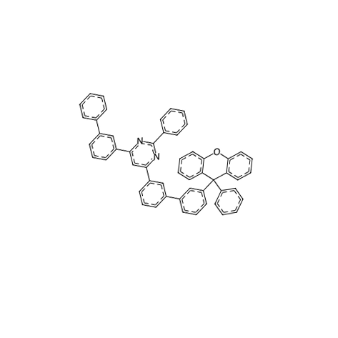 c1ccc(-c2cccc(-c3cc(-c4cccc(-c5cccc(C6(c7ccccc7)c7ccccc7Oc7ccccc76)c5)c4)nc(-c4ccccc4)n3)c2)cc1